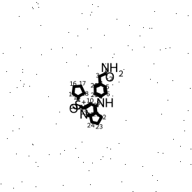 NC(=O)Cc1ccc(Nc2cc([S+]([O-])C3CCCC3)nc3c2CCC3)cc1